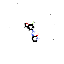 O=C1NCCC/C1=N/Nc1cc(F)c2c(c1)CCO2